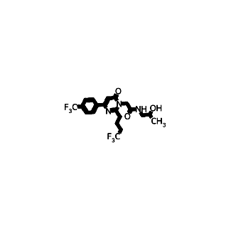 CC(O)CNC(=O)Cn1c(CCCC(F)(F)F)nc(-c2ccc(C(F)(F)F)cc2)cc1=O